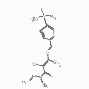 C=NN(C(=O)/C(Cl)=C(\C)OCc1ccc([Si](F)(C(C)(C)C)C(C)(C)C)cc1)C(C)(C)C